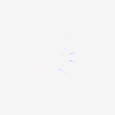 CC(C)(C)C(=O)On1ccc2c(-c3cnn(C(CCO)C4CCCC4)c3)ncnc21